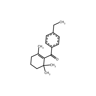 CCc1ccc(C(=O)C2=C(C)CCCC2(C)C)cc1